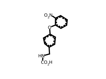 O=C(O)NCc1ccc(Oc2ccccc2[N+](=O)[O-])cc1